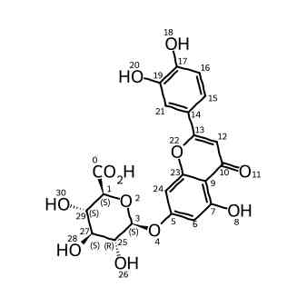 O=C(O)[C@H]1O[C@@H](Oc2cc(O)c3c(=O)cc(-c4ccc(O)c(O)c4)oc3c2)[C@H](O)[C@@H](O)[C@@H]1O